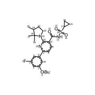 CC(C)COc1cc(F)cc(-c2ccc(C(=O)NS(=O)(=O)C3CC3)c(N3CCC(C)C3(C)C)n2)c1